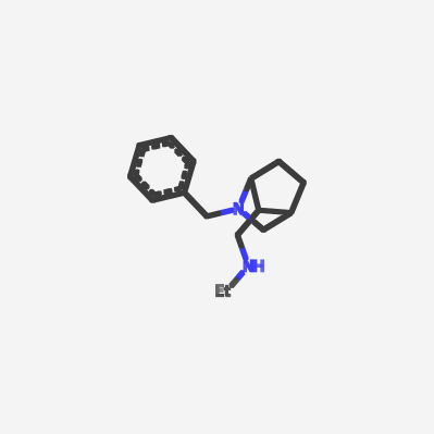 CCNCC1C2CCC1N(Cc1ccccc1)C2